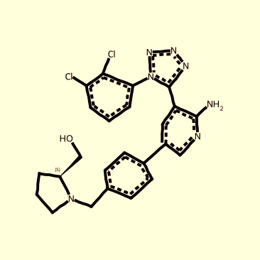 Nc1ncc(-c2ccc(CN3CCC[C@H]3CO)cc2)cc1-c1nnnn1-c1cccc(Cl)c1Cl